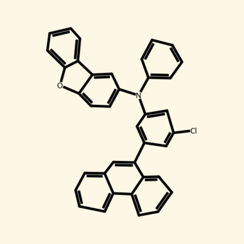 Clc1cc(-c2cc3ccccc3c3ccccc23)cc(N(c2ccccc2)c2ccc3oc4ccccc4c3c2)c1